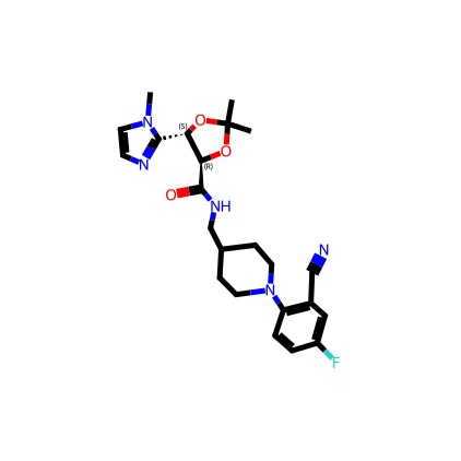 Cn1ccnc1[C@@H]1OC(C)(C)O[C@H]1C(=O)NCC1CCN(c2ccc(F)cc2C#N)CC1